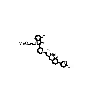 COCCCn1c(C2CCCN(C(=O)C[C@H](N)Cc3ccc(-c4ccc(O)nc4)cc3F)C2)c(C)c2c(F)cccc21